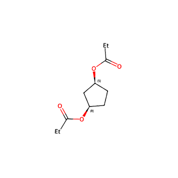 CCC(=O)O[C@@H]1CC[C@H](OC(=O)CC)C1